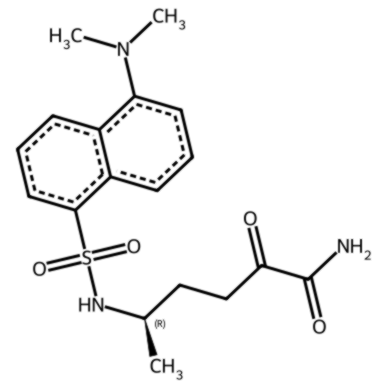 C[C@H](CCC(=O)C(N)=O)NS(=O)(=O)c1cccc2c(N(C)C)cccc12